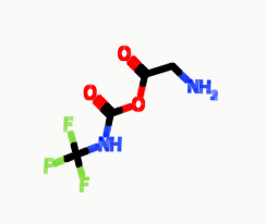 NCC(=O)OC(=O)NC(F)(F)F